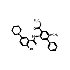 COC(=O)c1cc(C)c(-c2ccccc2)cc1NC(=O)c1cc(N2CCCCC2)ccc1O